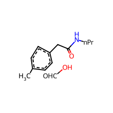 CCCNC(=O)Cc1ccc(C)cc1.O=CO